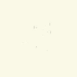 CC(C)(C)C(C)(O)c1cc(O)cc(O)c1